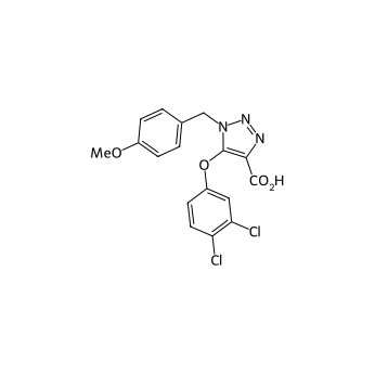 COc1ccc(Cn2nnc(C(=O)O)c2Oc2ccc(Cl)c(Cl)c2)cc1